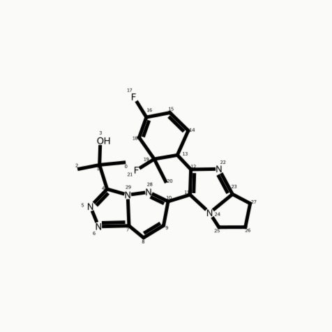 CC(C)(O)c1nnc2ccc(-c3c(C4C=CC(F)=CC4(C)F)nc4n3CCC4)nn12